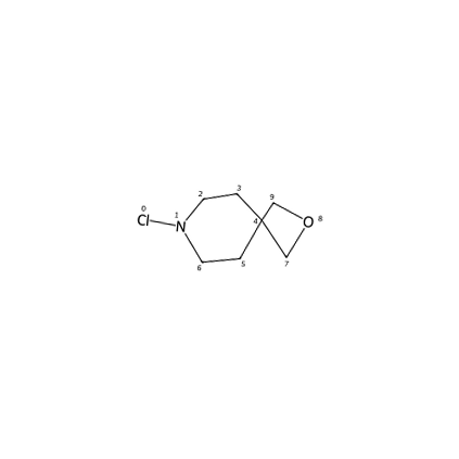 ClN1CCC2(CC1)COC2